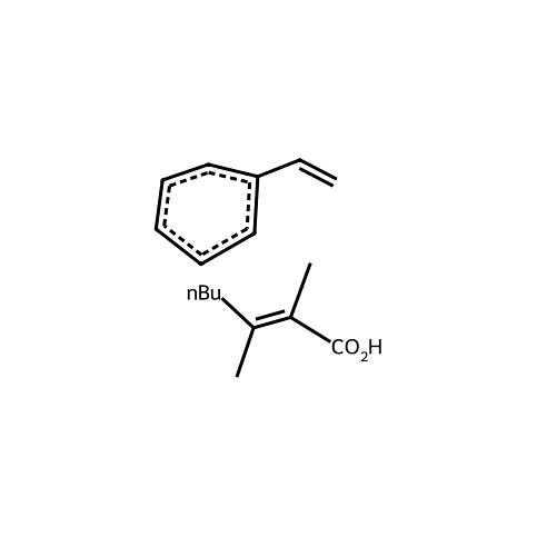 C=Cc1ccccc1.CCCCC(C)=C(C)C(=O)O